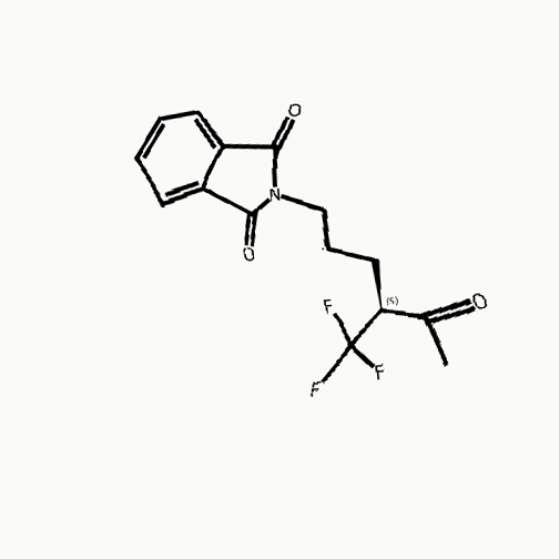 CC(=O)[C@H](C[CH]CN1C(=O)c2ccccc2C1=O)C(F)(F)F